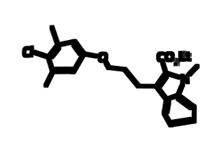 CCOC(=O)c1c(CCCOc2cc(C)c(Cl)c(C)c2)c2ccccc2n1C